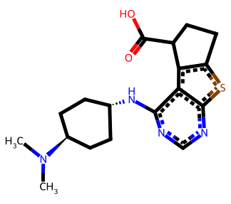 CN(C)[C@H]1CC[C@H](Nc2ncnc3sc4c(c23)C(C(=O)O)CC4)CC1